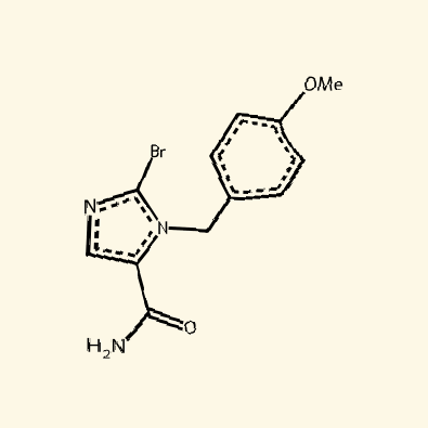 COc1ccc(Cn2c(C(N)=O)cnc2Br)cc1